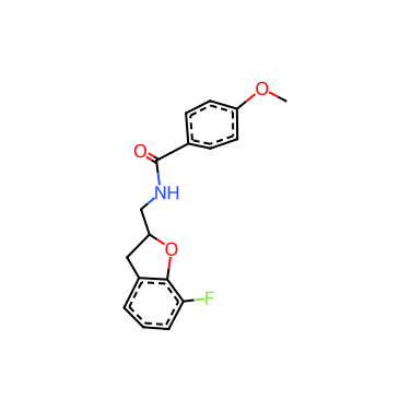 COc1ccc(C(=O)NCC2Cc3cccc(F)c3O2)cc1